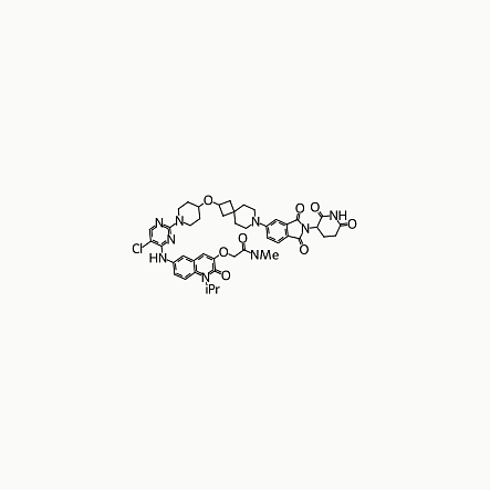 CNC(=O)COc1cc2cc(Nc3nc(N4CCC(OC5CC6(CCN(c7ccc8c(c7)C(=O)N(C7CCC(=O)NC7=O)C8=O)CC6)C5)CC4)ncc3Cl)ccc2n(C(C)C)c1=O